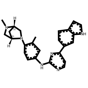 Cc1cc(Nc2nccc(-c3ccc4cc[nH]c4c3)n2)ccc1N1C[C@@H]2C[C@H]1CN2C